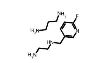 NCCCN.NCCNCc1ccc(F)nc1